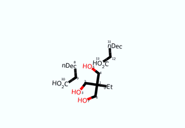 CCC(CO)(CO)CO.CCCCCCCCCCCC(=O)O.CCCCCCCCCCCC(=O)O